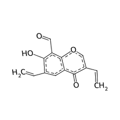 C=Cc1cc2c(=O)c(C=C)coc2c(C=O)c1O